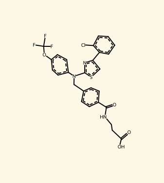 O=C(O)CCNC(=O)c1ccc(CN(c2ccc(OC(F)(F)F)cc2)c2nc(-c3ccccc3Cl)cs2)cc1